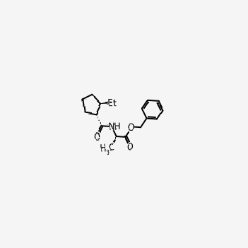 CC[C@@H]1CCC[C@H]1C(=O)N[C@H](C)C(=O)OCc1ccccc1